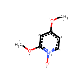 COc1cc[n+]([O-])c(OC)c1